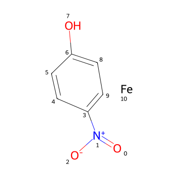 O=[N+]([O-])c1ccc(O)cc1.[Fe]